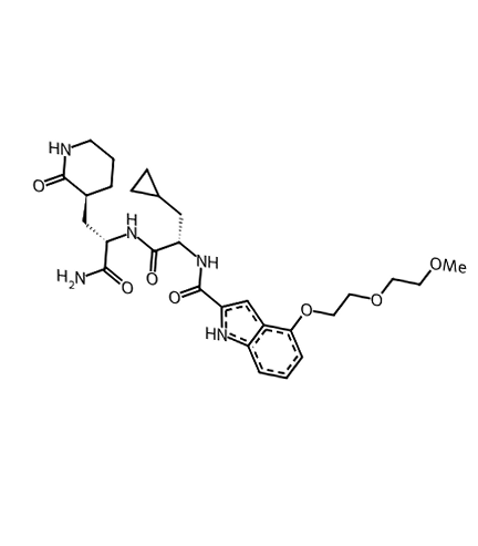 COCCOCCOc1cccc2[nH]c(C(=O)N[C@@H](CC3CC3)C(=O)N[C@@H](C[C@@H]3CCCNC3=O)C(N)=O)cc12